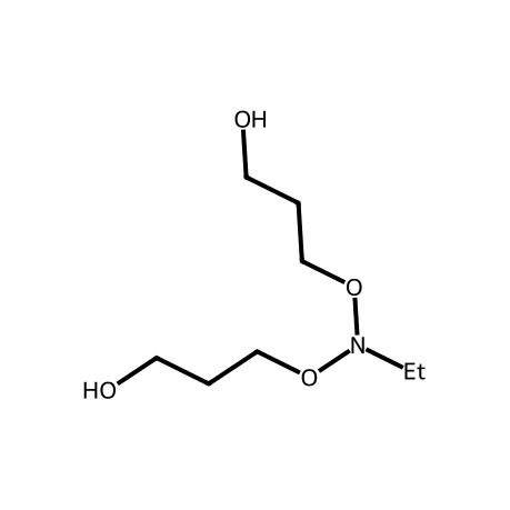 CCN(OCCCO)OCCCO